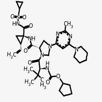 C=C[C@@H]1C[C@]1(NC(=O)[C@@H]1CN(c2cc(N3CCCCC3)nc(C)n2)CN1C(=O)[C@@H](NC(=O)OC1CCCC1)C(C)(C)C)C(=O)NS(=O)(=O)C1CC1